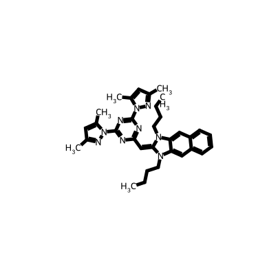 CCCCN1C(=Cc2nc(-n3nc(C)cc3C)nc(-n3nc(C)cc3C)n2)N(CCCC)c2cc3ccccc3cc21